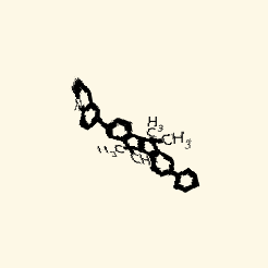 CC1(C)C2=C(c3ccc(-c4ccccc4)cc31)C(C)(C)c1cc(-c3ccc4ncccc4c3)ccc12